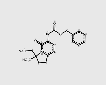 COCC1(C(=O)O)CCc2ncc(NC(=O)OCc3ccccc3)c(=O)n21